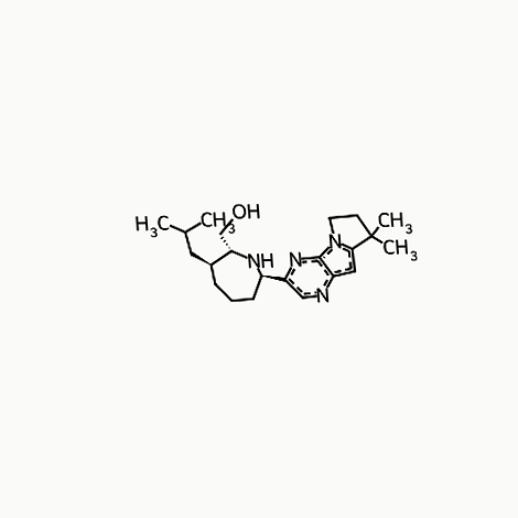 CC(C)C[C@@H]1CCC[C@H](c2cnc3cc4n(c3n2)CCC4(C)C)N[C@H]1CO